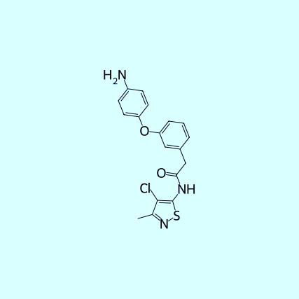 Cc1nsc(NC(=O)Cc2cccc(Oc3ccc(N)cc3)c2)c1Cl